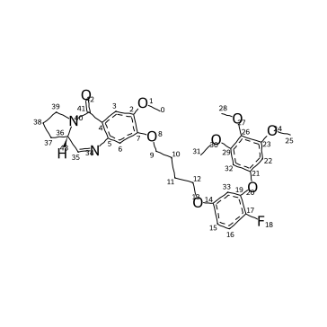 COc1cc2c(cc1OCCCCOc1ccc(F)c(Oc3cc(OC)c(OC)c(OC)c3)c1)N=C[C@@H]1CCCN1C2=O